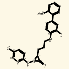 CSc1ccccc1-c1ccc(NCCCC2C(=O)N2Nc2ccc(Cl)nn2)c(F)c1